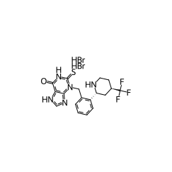 Br.Br.O=c1[nH]c(=S)n(Cc2ccccc2[C@H]2C[C@H](C(F)(F)F)CCN2)c2nc[nH]c12